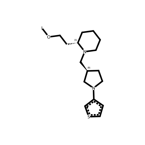 IOCC[C@@H]1CCCCN1C[C@H]1CCN(c2ccsc2)C1